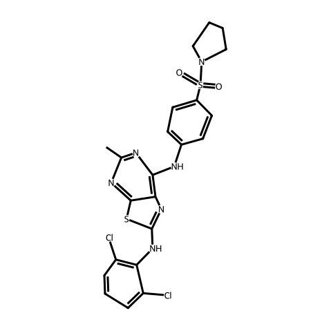 Cc1nc(Nc2ccc(S(=O)(=O)N3CCCC3)cc2)c2nc(Nc3c(Cl)cccc3Cl)sc2n1